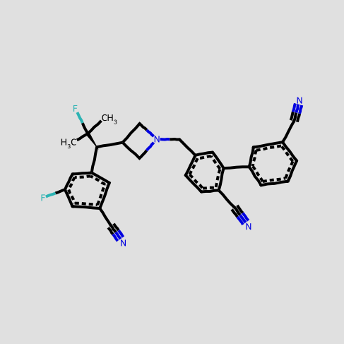 CC(C)(F)[C@H](c1cc(F)cc(C#N)c1)C1CN(Cc2ccc(C#N)c(-c3cccc(C#N)c3)c2)C1